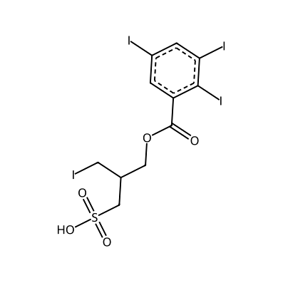 O=C(OCC(CI)CS(=O)(=O)O)c1cc(I)cc(I)c1I